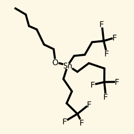 CCCCCC[O][Sn]([CH2]CCC(F)(F)F)([CH2]CCC(F)(F)F)[CH2]CCC(F)(F)F